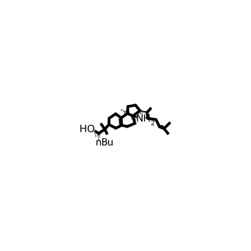 CCCC[C@H](O)C(C)(C)C1CCC2=C(CC[C@@]3(N)[C@H](C(C)CCC=C(C)C)CC[C@]23C)C1